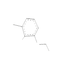 [CH2]c1c(Cl)cccc1OCC